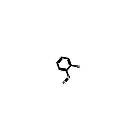 [N]=Nc1ccccc1Br